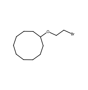 BrCCOC1CCCCCCCCC1